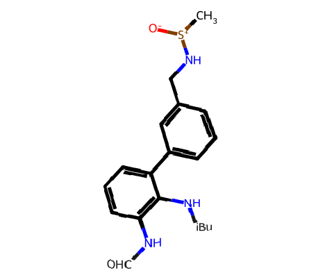 CCC(C)Nc1c(NC=O)cccc1-c1cccc(CN[S+](C)[O-])c1